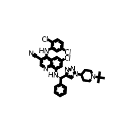 CC(C)(C)N1CCC(n2cc([C@@H](Nc3cc(Cl)cc4c(Nc5cc(Cl)ccc5Cl)c(C#N)cnc34)c3ccccc3)nn2)CC1